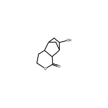 O=C1OCCC2C3CC(O)C(C3)C12